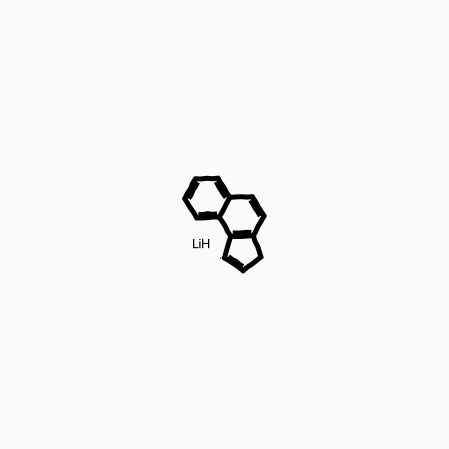 [C]1=CCc2ccc3ccccc3c21.[LiH]